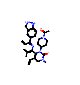 C=CC1=C(C(/N=C(\C=C)c2ccc3c(c2)CNN3)=C(C)C)N(C2CCN(C(C)=O)CC2)C(=O)N(C)C1